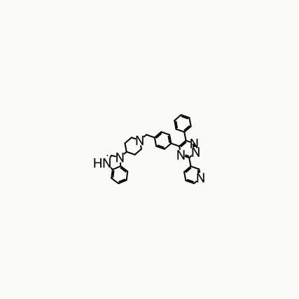 [CH]1Nc2ccccc2N1C1CCN(Cc2ccc(-c3nc(-c4cccnc4)nnc3-c3ccccc3)cc2)CC1